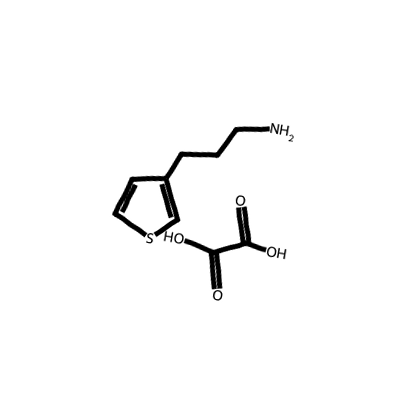 NCCCc1ccsc1.O=C(O)C(=O)O